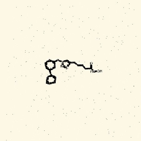 O=C(CCCCc1cn(Cc2cccc(-c3ccccc3)c2)nn1)NO